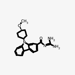 CO[C@H]1CC[C@@H](n2c3ccccc3c3ccc(C(=O)N=C(N)N)cc32)CC1